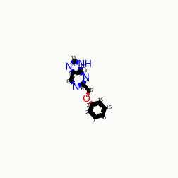 [c]1ccc(OCc2ncc3nc[nH]c3n2)cc1